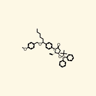 C=C[C@H]1[C@H](O[Si](c2ccccc2)(c2ccccc2)C(C)(C)C)CC(=O)N1c1ccc(C(CCCCC)OCc2ccc(OC)cc2)cc1